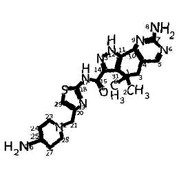 CC1(C)Cc2cnc(N)nc2-c2[nH]nc(C(=O)Nc3nc(CN4CCC(N)CC4)cs3)c21